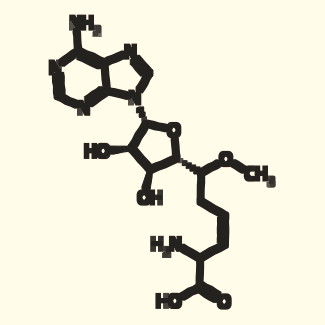 COC(C/C=C\C(N)C(=O)O)[C@H]1O[C@@H](n2cnc3c(N)ncnc32)[C@H](O)[C@@H]1O